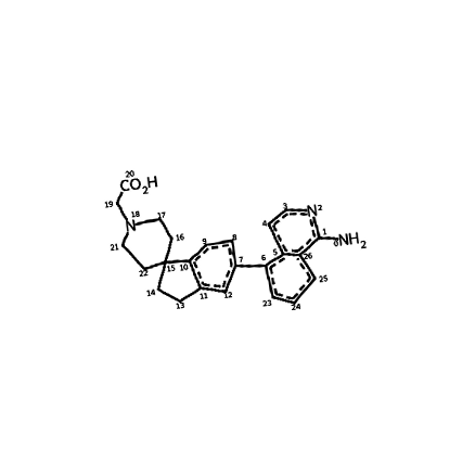 Nc1nccc2c(-c3ccc4c(c3)CCC43CCN(CC(=O)O)CC3)cccc12